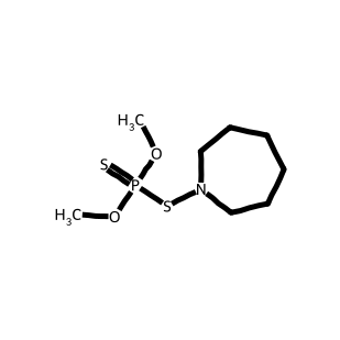 COP(=S)(OC)SN1CCCCCC1